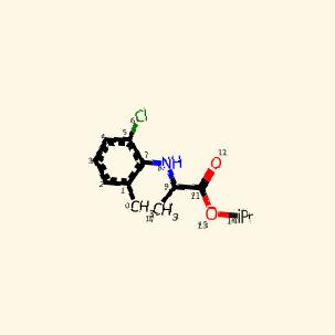 Cc1cccc(Cl)c1NC(C)C(=O)OC(C)C